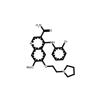 CCc1ccccc1Nc1c(C(N)=O)cnc2cc(OC)c(OCCN3CCCC3)cc12